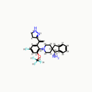 C=C(C1=NNCC1)c1cc(F)cc(OC(F)(F)F)c1N1CCC2(CC1)Cc1ccccc1[C@H]2N